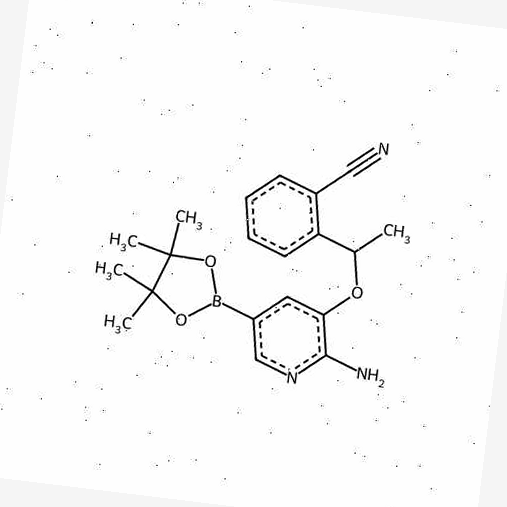 CC(Oc1cc(B2OC(C)(C)C(C)(C)O2)cnc1N)c1ccccc1C#N